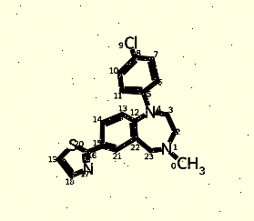 CN1CCN(c2ccc(Cl)cc2)c2ccc(-c3nccs3)cc2C1